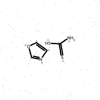 NC(=S)S.c1cocn1